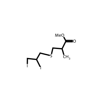 COC(=O)C(C)CSCC(I)CI